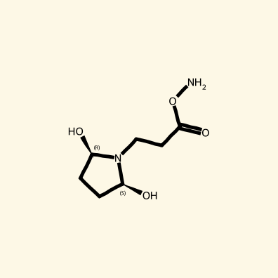 NOC(=O)CCN1[C@H](O)CC[C@@H]1O